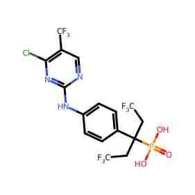 O=P(O)(O)C(CC(F)(F)F)(CC(F)(F)F)c1ccc(Nc2ncc(C(F)(F)F)c(Cl)n2)cc1